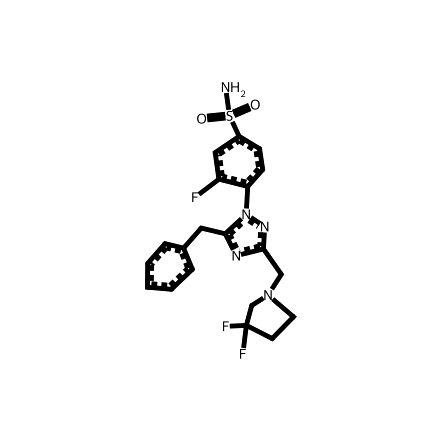 NS(=O)(=O)c1ccc(-n2nc(CN3CCC(F)(F)C3)nc2Cc2ccccc2)c(F)c1